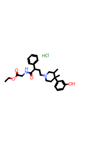 CCOC(=O)CNC(=O)C(CCN1CCC(C)(c2cccc(O)c2)C(C)C1)c1ccccc1.Cl